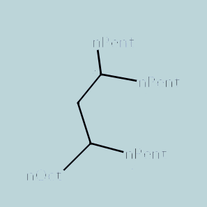 CCCCCCCCC(CCCCC)CC(CCCCC)CCCCC